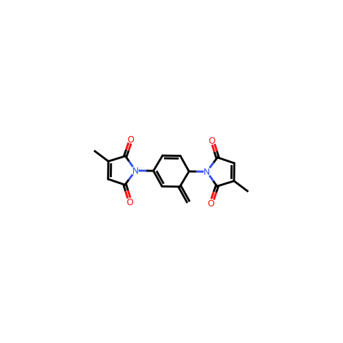 C=C1C=C(N2C(=O)C=C(C)C2=O)C=CC1N1C(=O)C=C(C)C1=O